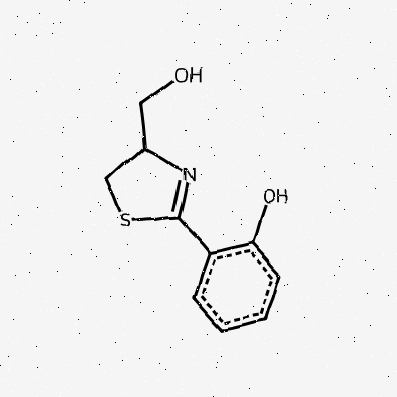 OCC1CSC(c2ccccc2O)=N1